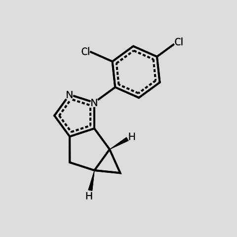 Clc1ccc(-n2ncc3c2[C@@H]2C[C@@H]2C3)c(Cl)c1